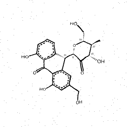 C[C@H]1[C@H](O)C(=O)[C@H]([C@H]2c3cccc(O)c3C(=O)c3c(O)cc(CO)cc32)O[C@@H]1CO